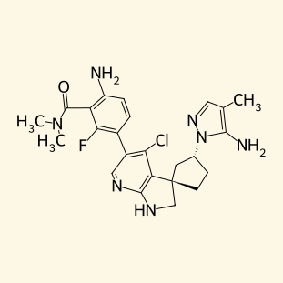 Cc1cnn([C@@H]2CC[C@]3(CNc4ncc(-c5ccc(N)c(C(=O)N(C)C)c5F)c(Cl)c43)C2)c1N